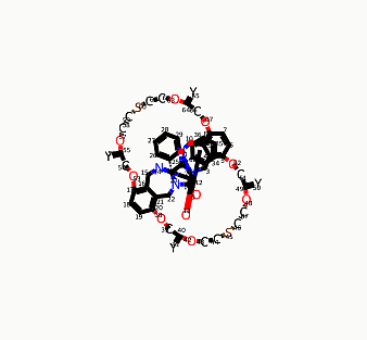 O=C1N2Cc3c4ccc5c3CN3C(=O)N6Cc7c(ccc(c7CN1[C@]6(c1ccccc1)[C@]23c1ccccc1)OC[C](=[Y])OCCSCCO[C](=[Y])CO4)OC[C](=[Y])OCCSCCO[C](=[Y])CO5